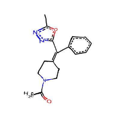 BC(=O)N1CCC(=C(c2ccccc2)c2nnc(C)o2)CC1